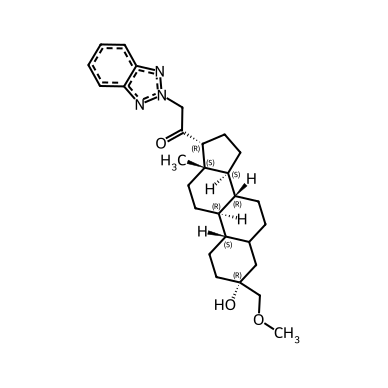 COC[C@@]1(O)CC[C@H]2C(CC[C@@H]3[C@@H]2CC[C@]2(C)[C@H](C(=O)Cn4nc5ccccc5n4)CC[C@@H]32)C1